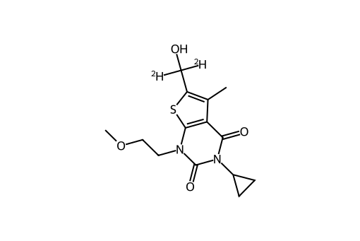 [2H]C([2H])(O)c1sc2c(c1C)c(=O)n(C1CC1)c(=O)n2CCOC